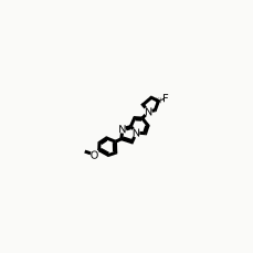 COc1ccc(-c2cn3ccc(N4CC[C@H](F)C4)cc3n2)cc1